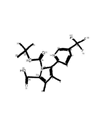 Cc1c(C)c(-c2ccc(C(F)(F)F)cn2)n(C(=O)OC(C)(C)C)c1C(=O)O